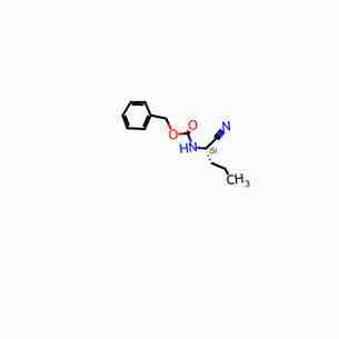 CCC[C@@H](C#N)NC(=O)OCc1ccccc1